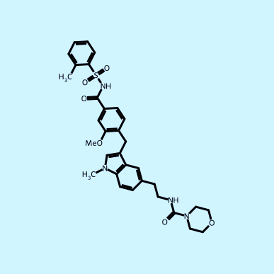 COc1cc(C(=O)NS(=O)(=O)c2ccccc2C)ccc1Cc1cn(C)c2ccc(CCNC(=O)N3CCOCC3)cc12